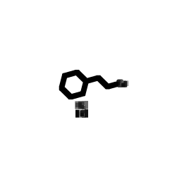 Cl.Cl.[Ga][CH2]CC1CCCCC1